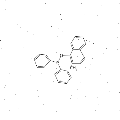 Cc1ccc2ccccc2c1OP(c1ccccc1)c1ccccc1